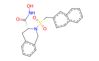 O=C(NO)[C@H]1Cc2ccccc2CN1S(=O)(=O)Cc1ccc2ccccc2c1